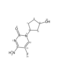 Nc1nc(=O)n(C2CCC(O)C2)cc1F